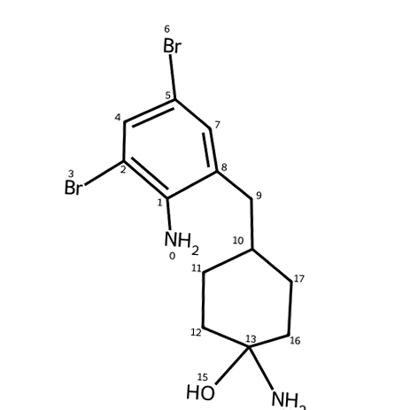 Nc1c(Br)cc(Br)cc1CC1CCC(N)(O)CC1